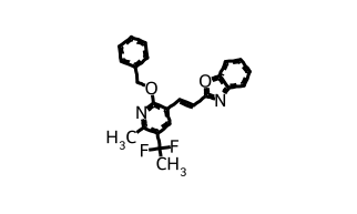 Cc1nc(OCc2ccccc2)c(C=Cc2nc3ccccc3o2)cc1C(C)(F)F